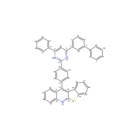 c1ccc(-c2cccc(-c3cc(-c4ccccc4)nc(-c4ccc(-c5c6ccccc6nc6sc7ccccc7c56)cc4)n3)c2)cc1